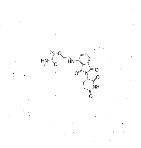 CNC(=O)C(C)OCCNc1cccc2c1C(=O)N(C1CCC(=O)NC1=O)C2=O